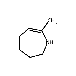 CC1=CCCCCN1